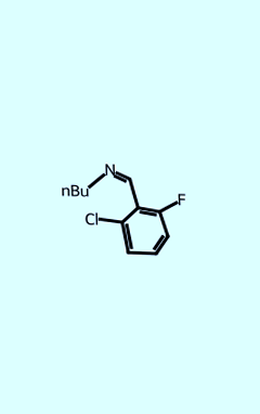 CCCC/N=C\c1c(F)cccc1Cl